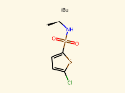 [CH2][C@H](NS(=O)(=O)c1ccc(Cl)s1)[C@H](C)CC